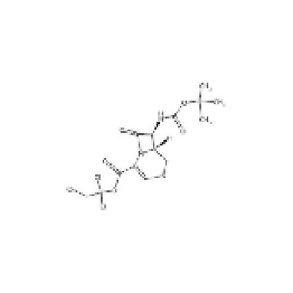 CC(C)(C)OC(=O)N[C@@H]1C(=O)N2C(C(=O)OC(Cl)(Cl)CCl)=CSC[C@@H]12